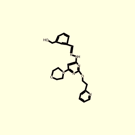 OCc1cccc(C=NNc2cc(N3CCOCC3)nc(OCCc3ccccn3)n2)c1